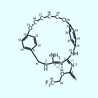 C=C(/N=C1\N=C(/N)NCc2ccc(cc2)OCCCCOc2ccc(cc2)N1)OCC(F)(F)F